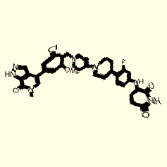 COc1cc(-c2cn(C)c(=O)c3[nH]ncc23)cc(Cl)c1CN1CCC(N2CCC(c3ccc(NC4CCC(=O)NC4=O)cc3F)CC2)CC1